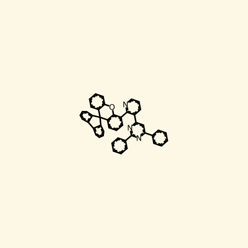 c1ccc(-c2cc(-c3cccnc3-c3cccc4c3Oc3ccccc3C43c4ccccc4-c4ccccc43)nc(-c3ccccc3)n2)cc1